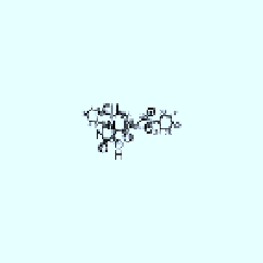 CN1CCCC1c1nc(=O)c(O)c2n1CCCN(CCS(=O)(=O)c1ccccc1)C2=O